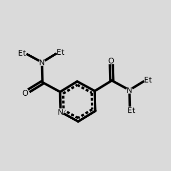 CCN(CC)C(=O)c1ccnc(C(=O)N(CC)CC)c1